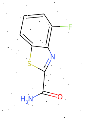 NC(=O)c1nc2c(F)cccc2s1